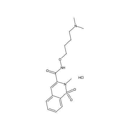 CN(C)CCCCONC(=O)C1=Cc2ccccc2S(=O)(=O)N1C.Cl